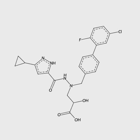 O=C(NN(Cc1ccc(-c2cc(Cl)ccc2F)cc1)CC(O)C(=O)O)c1cc(C2CC2)n[nH]1